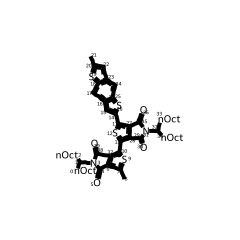 CCCCCCCCC(CCCCCCCC)N1C(=O)c2c(C)sc(-c3sc(-c4cc5cc6sc(C)cc6cc5s4)c4c3C(=O)N(C(CCCCCCCC)CCCCCCCC)C4=O)c2C1=O